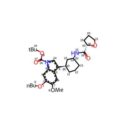 CCCCOc1cc2c(cc1OC)c([C@@H]1CCC[C@H](NC(=O)[C@@H]3CCCO3)C1)cn2C(=O)OC(C)(C)C